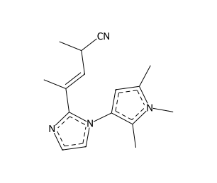 C/C(=C\C(C)C#N)c1nccn1-c1cc(C)n(C)c1C